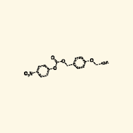 C#CCOc1ccc(COC(=O)Oc2ccc([N+](=O)[O-])cc2)cc1